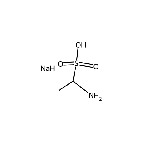 CC(N)S(=O)(=O)O.[NaH]